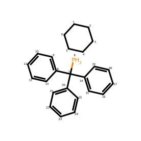 C1CCCCC1.PC(c1ccccc1)(c1ccccc1)c1ccccc1